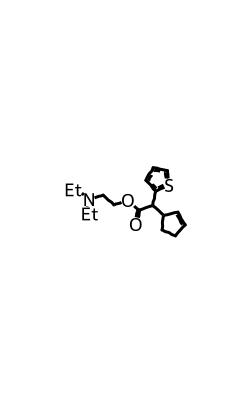 CCN(CC)CCOC(=O)C(c1cccs1)C1C=CCC1